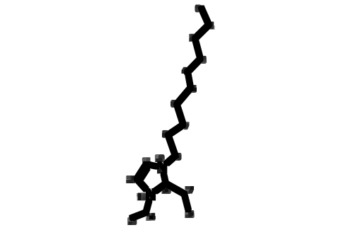 CCCCCCCCCCN1C=CN(CC)C1CC